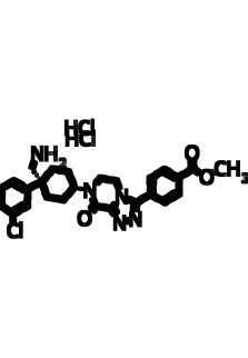 COC(=O)c1ccc(-c2nnc3n2CCN([C@H]2CC[C@](CN)(c4cccc(Cl)c4)CC2)C3=O)cc1.Cl.Cl